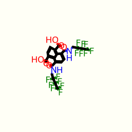 O=C(O)c1ccc(C(=O)O)c2c(C(=O)NCC(F)(F)C(F)(F)C(F)(F)F)ccc(C(=O)NCC(F)(F)C(F)(F)C(F)(F)F)c12